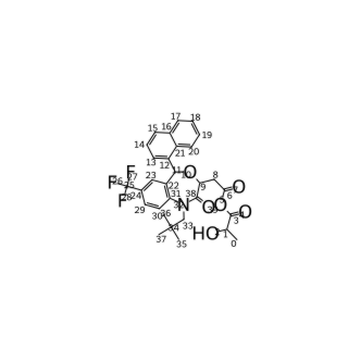 CC(O)C(=O)OC(=O)CC1OC(c2cccc3ccccc23)c2cc(C(F)(F)F)ccc2N(CC(C)(C)C)C1=O